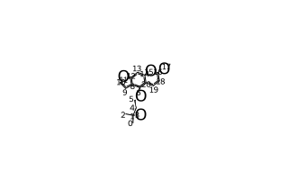 CC1(C)O[C@@H]1COc1c2ccoc2cc2oc(=O)ccc12